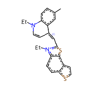 CCN1C=C/C(=C\c2sc3c4ccsc4ccc3[n+]2CC)c2cc(C)ccc21